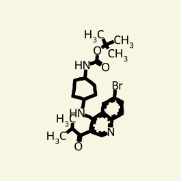 CC(C)C(=O)c1cnc2ccc(Br)cc2c1NC1CCC(NC(=O)OC(C)(C)C)CC1